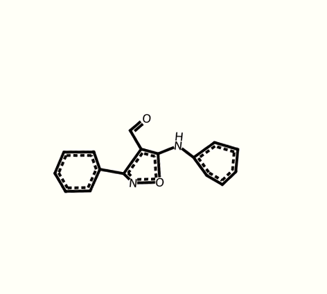 O=Cc1c(-c2ccccc2)noc1Nc1ccccc1